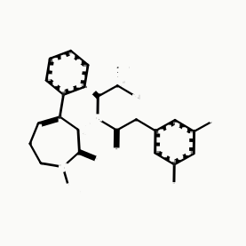 C[C@H](N)C(=O)N(C(=O)Cc1cc(F)cc(F)c1)[C@@H]1C(=O)N(C)CCC=C1c1ccccc1